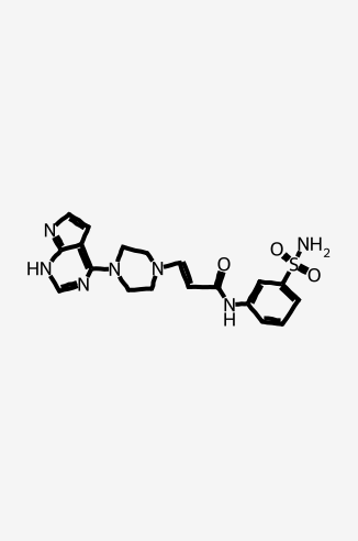 NS(=O)(=O)c1cccc(NC(=O)C=CN2CCN(c3nc[nH]c4nccc3-4)CC2)c1